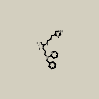 NC(=NCCCc1c[nH]cn1)NCCN(Cc1ccccc1)c1ccccn1